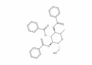 CC1O[C@H](CO)[C@@H](OC(=O)c2ccccc2)[C@H](OC(=O)c2ccccc2)[C@H]1OC(=O)c1ccccc1